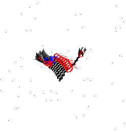 CCCCCCCC[O-].CCCCCCCC[O-].CCCCCCCC[O-].CCCCCCCC[O-].CCCCCCCC[O-].CCCCCCCC[O-].CCCCCCCC[O-].CCCCCCCC[O-].CCCCCCCC[O-].[K+].[K+].[K+].[K+].[K+].[K+].[K+].[K+].[K+].[K+].[K+].[K+].[N-]=C=O.[N-]=C=O.[N-]=C=O